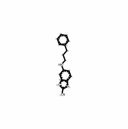 N#Cc1nc2ccc(NCCCc3ccccc3)cc2s1